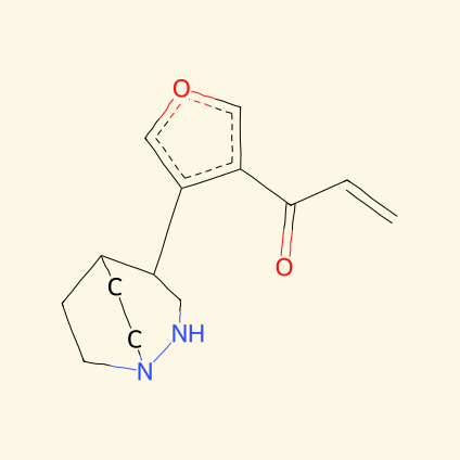 C=CC(=O)c1cocc1C1CNN2CCC1CC2